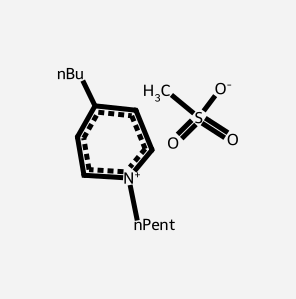 CCCCC[n+]1ccc(CCCC)cc1.CS(=O)(=O)[O-]